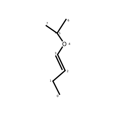 CCC=CO[C](C)C